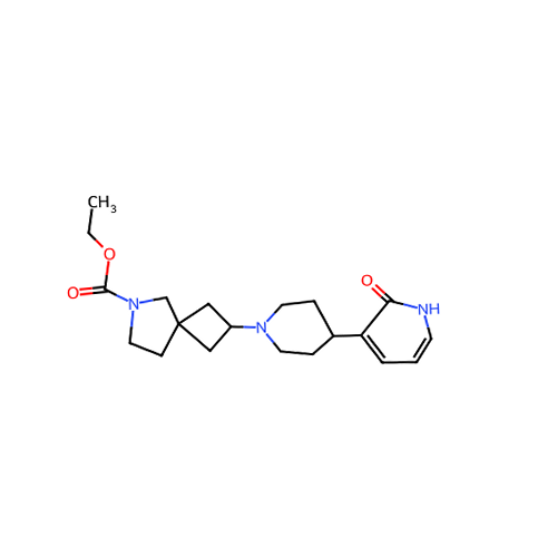 CCOC(=O)N1CCC2(CC(N3CCC(c4ccc[nH]c4=O)CC3)C2)C1